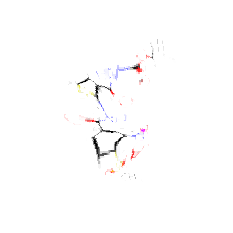 CCOC(=O)NC(=O)c1ccsc1NC(=O)c1ccc(S(C)(=O)=O)c([N+](=O)[O-])c1